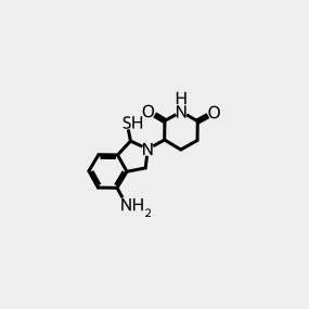 Nc1cccc2c1CN(C1CCC(=O)NC1=O)C2S